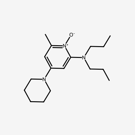 CCCN(CCC)c1cc(N2CCCCC2)cc(C)[n+]1[O-]